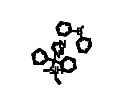 C=CC[SiH](C)C(c1ccccc1)(c1ccccc1)n1ccnc1.CB(c1ccccc1)c1ccccc1